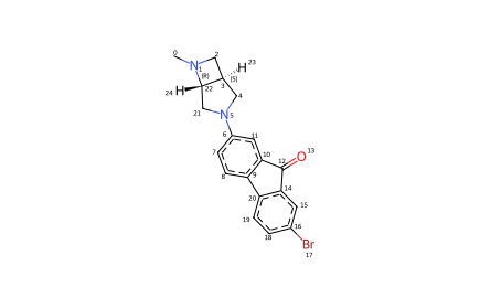 CN1C[C@H]2CN(c3ccc4c(c3)C(=O)c3cc(Br)ccc3-4)C[C@@H]21